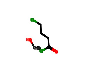 O=C(Cl)CCCCl.O=CO